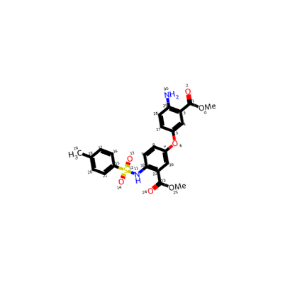 COC(=O)c1cc(Oc2ccc(NS(=O)(=O)c3ccc(C)cc3)c(C(=O)OC)c2)ccc1N